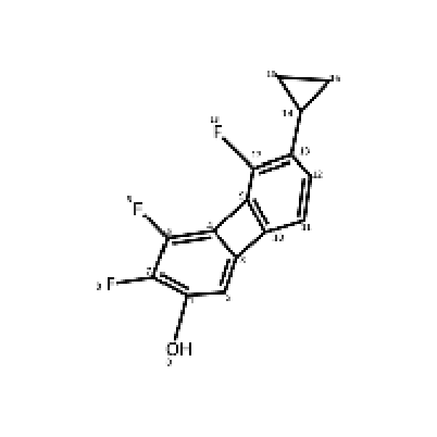 Oc1cc2c(c(F)c1F)-c1c-2ccc(C2CC2)c1F